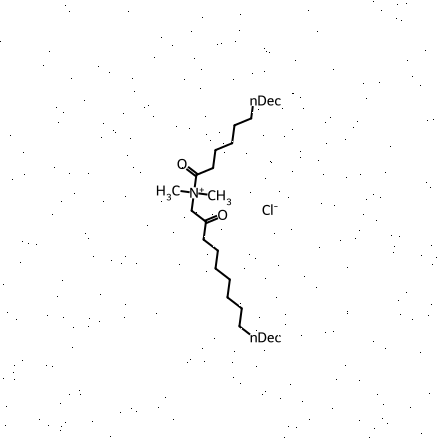 CCCCCCCCCCCCCCCCCC(=O)C[N+](C)(C)C(=O)CCCCCCCCCCCCCCC.[Cl-]